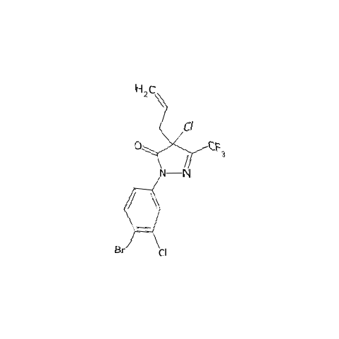 C=CCC1(Cl)C(=O)N(c2ccc(Br)c(Cl)c2)N=C1C(F)(F)F